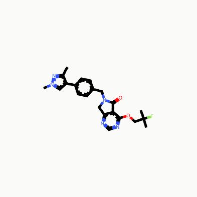 Cc1nn(C)cc1-c1ccc(CN2Cc3ncnc(OCC(C)(C)F)c3C2=O)cc1